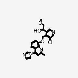 COCC(O)c1cncc(Cl)c1COc1cccc2c(-n3ccnc3)cc(C)nc12